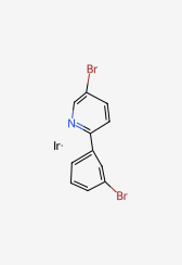 Brc1ccc(-c2cccc(Br)c2)nc1.[Ir]